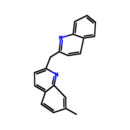 Cc1ccc2ccc(Cc3ccc4ccccc4n3)nc2c1